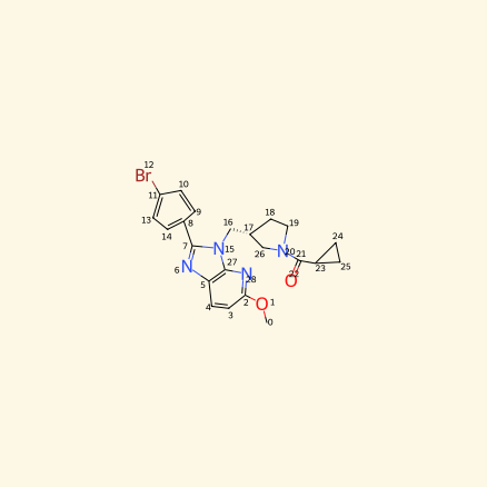 COc1ccc2nc(-c3ccc(Br)cc3)n(C[C@@H]3CCN(C(=O)C4CC4)C3)c2n1